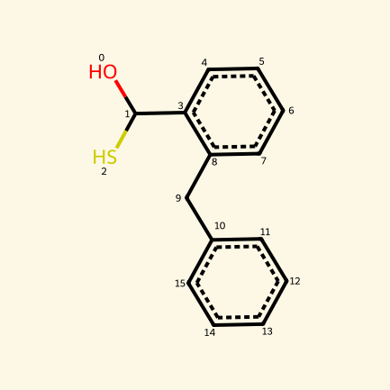 OC(S)c1ccccc1Cc1ccccc1